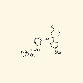 C1CC2CC1O2.COc1ccc(C2(C#Cc3cccc(NC(=O)C(F)(F)F)c3)CCCC(=O)C2)cc1